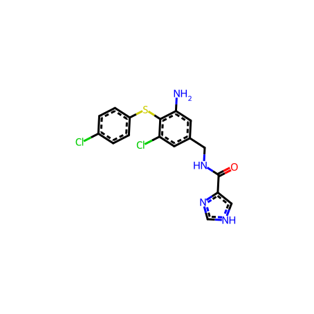 Nc1cc(CNC(=O)c2c[nH]cn2)cc(Cl)c1Sc1ccc(Cl)cc1